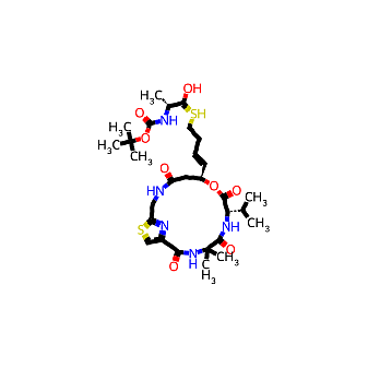 CC(C)[C@@H]1NC(=O)C(C)(C)NC(=O)c2csc(n2)CNC(=O)C[C@@H](/C=C/CC/[SH]=C(/O)[C@@H](C)NC(=O)OC(C)(C)C)OC1=O